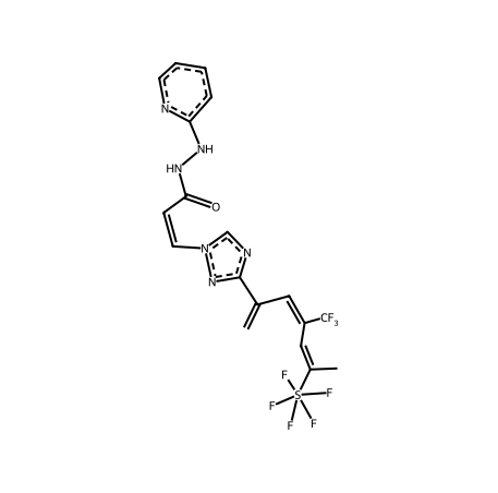 C=C(/C=C(\C=C(/C)S(F)(F)(F)(F)F)C(F)(F)F)c1ncn(/C=C\C(=O)NNc2ccccn2)n1